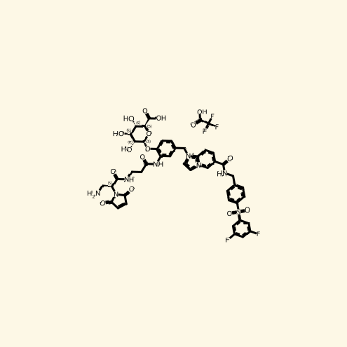 NC[C@@H](C(=O)NCCC(=O)Nc1cc(C[n+]2ccn3cc(C(=O)NCc4ccc(S(=O)(=O)c5cc(F)cc(F)c5)cc4)ccc32)ccc1O[C@@H]1O[C@H](C(=O)O)[C@@H](O)[C@H](O)[C@H]1O)N1C(=O)C=CC1=O.O=C(O)C(F)(F)F